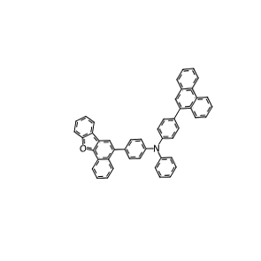 c1ccc(N(c2ccc(-c3cc4ccccc4c4ccccc34)cc2)c2ccc(-c3cc4c5ccccc5oc4c4ccccc34)cc2)cc1